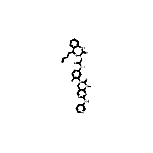 C=CCCC1=N[C@@H](CC(=O)Nc2ccc(C)c(N3Cc4cnc(Nc5cccnc5)nc4N(C)C3=O)c2)C(=O)Nc2ccccc21